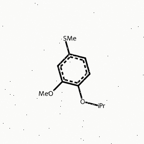 COc1cc(SC)ccc1OC(C)C